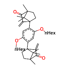 C=C1C(=O)C2(C)CCC1(c1cc(OCCCCCC)c(C34CCC(C)(C(=O)C3=C)C4(C)C)cc1OCCCCCC)C2(C)C